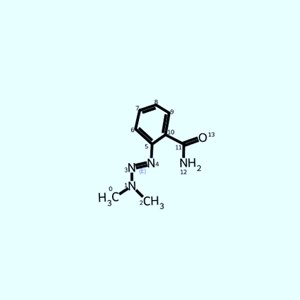 CN(C)/N=N/c1ccccc1C(N)=O